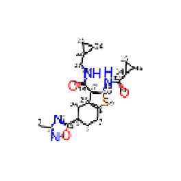 Cc1noc(C2CCc3sc(NC(=O)C4CC4)c(C(=O)NCC4CC4)c3C2)n1